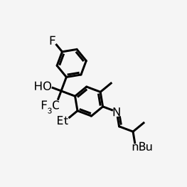 CCCCC(C)/C=N/c1cc(CC)c(C(O)(c2cccc(F)c2)C(F)(F)F)cc1C